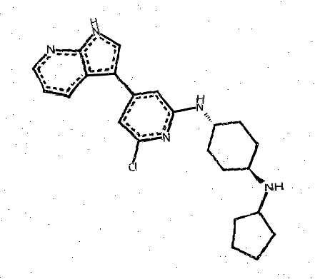 Clc1cc(-c2c[nH]c3ncccc23)cc(N[C@H]2CC[C@H](NC3CCCC3)CC2)n1